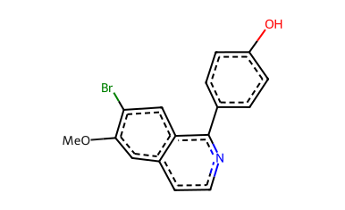 COc1cc2ccnc(-c3ccc(O)cc3)c2cc1Br